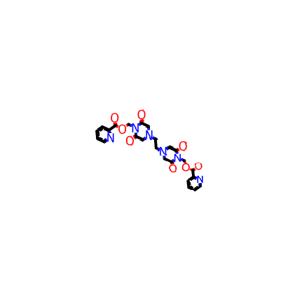 O=C(OCN1C(=O)CN(CCN2CC(=O)N(COC(=O)c3ccccn3)C(=O)C2)CC1=O)c1ccccn1